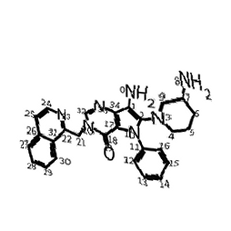 Nc1c(N2CCC[C@H](N)C2)n(-c2ccccc2)c2c(=O)n(Cc3nccc4ccccc34)cnc12